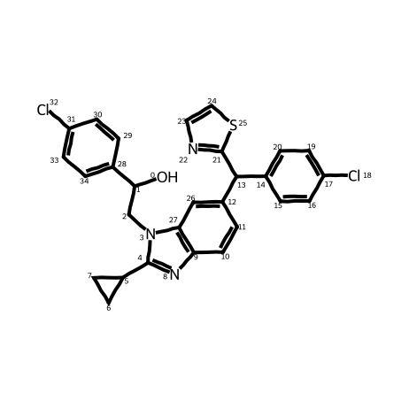 OC(Cn1c(C2CC2)nc2ccc(C(c3ccc(Cl)cc3)c3nccs3)cc21)c1ccc(Cl)cc1